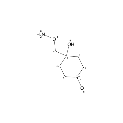 NOCC1(O)CC[S+]([O-])CC1